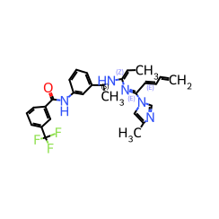 C=C/C=C/C(=N\C(=C/C)N[C@@H](C)c1cccc(NC(=O)c2cccc(C(F)(F)F)c2)c1)n1cnc(C)c1